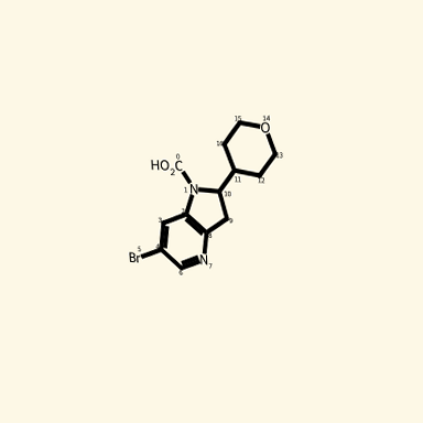 O=C(O)N1c2cc(Br)cnc2CC1C1CCOCC1